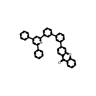 O=c1c2ccccc2oc2cc(-c3cccc(-c4cccc(-c5cc(-c6ccccc6)cc(-c6ccccc6)n5)c4)c3)ccc12